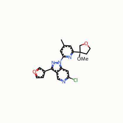 CO[C@]1(c2cc(C)cc(-n3nc(-c4ccoc4)c4cnc(Cl)cc43)n2)CCOC1